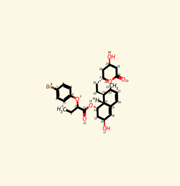 CCC(Oc1ccc(Br)cc1)C(=O)O[C@H]1C[C@H](O)C=C2C=C[C@H](C)[C@H](CC[C@@H]3C[C@@H](O)CC(=O)O3)[C@H]21